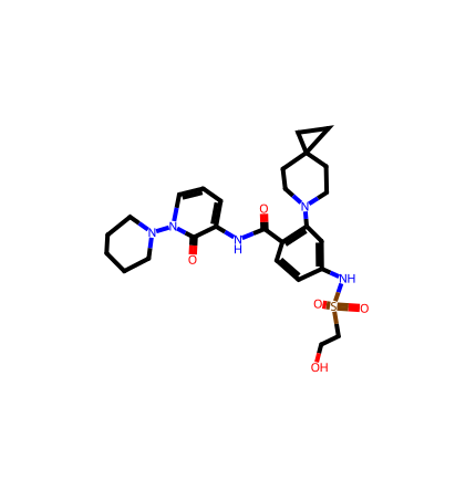 O=C(Nc1cccn(N2CCCCC2)c1=O)c1ccc(NS(=O)(=O)CCO)cc1N1CCC2(CC1)CC2